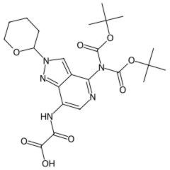 CC(C)(C)OC(=O)N(C(=O)OC(C)(C)C)c1ncc(NC(=O)C(=O)O)c2nn(C3CCCCO3)cc12